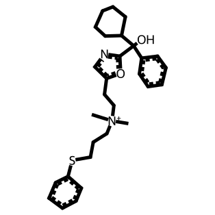 C[N+](C)(CCCSc1ccccc1)CCc1cnc(C(O)(c2ccccc2)C2CCCCC2)o1